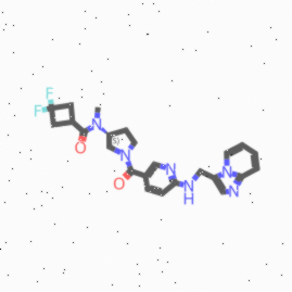 CN(C(=O)C1CC(F)(F)C1)[C@H]1CCN(C(=O)c2ccc(NCc3cnc4ccccn34)nc2)C1